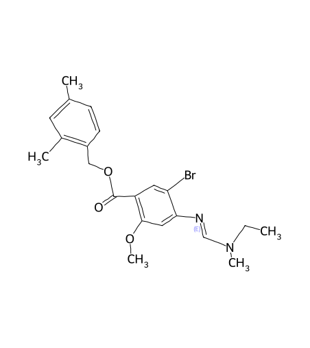 CCN(C)/C=N/c1cc(OC)c(C(=O)OCc2ccc(C)cc2C)cc1Br